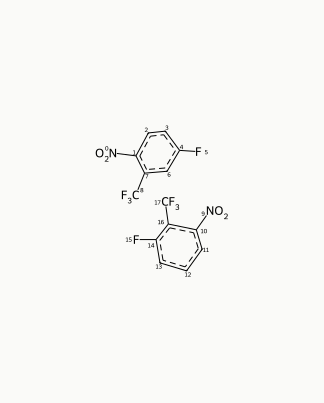 O=[N+]([O-])c1ccc(F)cc1C(F)(F)F.O=[N+]([O-])c1cccc(F)c1C(F)(F)F